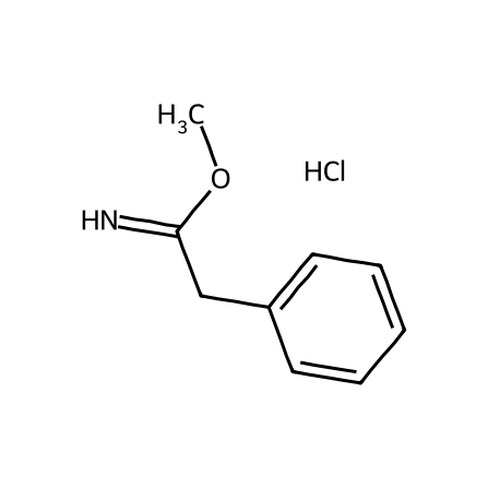 COC(=N)Cc1ccccc1.Cl